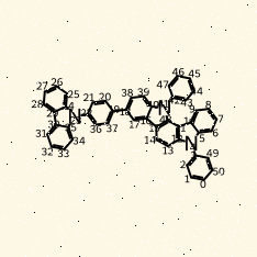 c1ccc(-n2c3ccccc3c3c2ccc2c4cc(-c5ccc(-n6c7ccccc7c7ccccc76)cc5)ccc4n(-c4ccccc4)c23)cc1